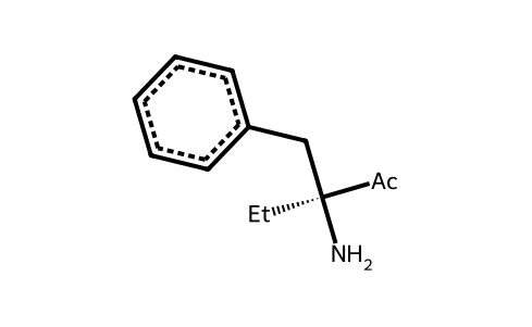 CC[C@](N)(Cc1ccccc1)C(C)=O